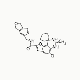 C=C1Nc2c(Cl)cc3cc(C(=O)NCc4ccc5c(c4)COC5)oc3c2C2(CCCCC2)N1